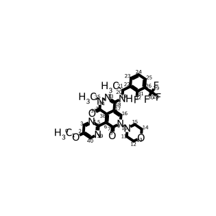 COc1cnc(-c2c(=O)n(N3CCOCC3)cc3c(N[C@H](C)c4cccc(C(F)(F)F)c4F)nn(C)c(=O)c23)nc1